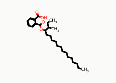 CCCCCCCCCCCCCCC(OC(=O)c1ccccc1C(=O)O)C(C)CC